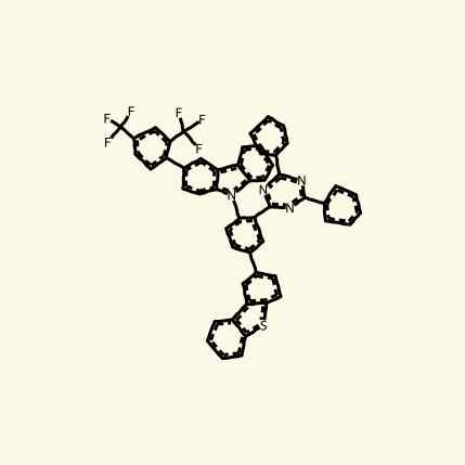 FC(F)(F)c1ccc(-c2ccc3c(c2)c2ccccc2n3-c2ccc(-c3ccc4sc5ccccc5c4c3)cc2-c2nc(-c3ccccc3)nc(-c3ccccc3)n2)c(C(F)(F)F)c1